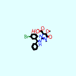 COc1c(C(=O)O)nc(NC(c2ccccc2)c2cccc(Br)c2)n(C)c1=O